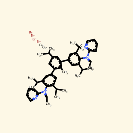 CC=[N+](c1ccccn1)c1c(C(C)C)cc(-c2cc(C(C)C)cc(-c3cc(C(C)C)c([N+](=CC)c4ccccn4)c(C(C)C)c3)c2C)cc1C(C)C.[Br-].[Br-].[Br-].[Br-].[Cu].[Cu]